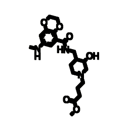 CNc1cc2c(c(C(=O)NCC3CCN(CCCC(=O)OC)CC3O)c1)OCCO2